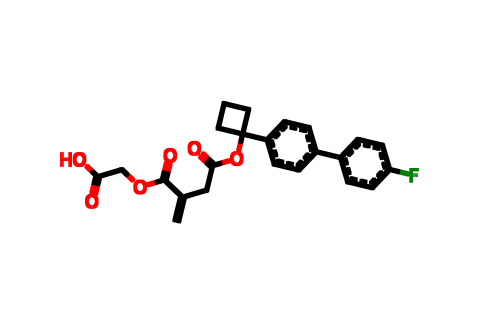 C=C(CC(=O)OC1(c2ccc(-c3ccc(F)cc3)cc2)CCC1)C(=O)OCC(=O)O